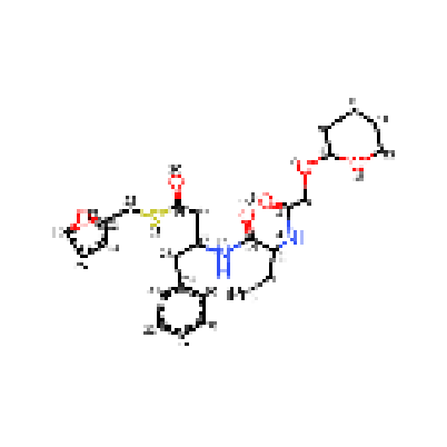 CC(C)CC(NC(=O)COC1CCCCO1)C(=O)NC(CC(=O)SCc1ccco1)Cc1ccccc1